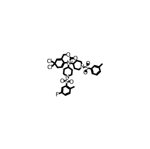 Cc1cccc(S(=O)(=O)N2CCC([N+]3(C4CCN(S(=O)(=O)c5cc(F)ccc5C)CC4)C(=O)OCC4=CC(Cl)(Cl)CC=C43)CC2)c1